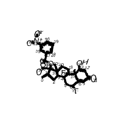 CC1CC2C3CC(F)C4=CC(=O)C=C(O)C4(C)C3(F)CCC2(C)C1(OC(=O)c1cccc([N+](=O)[O-])c1)C(=O)O